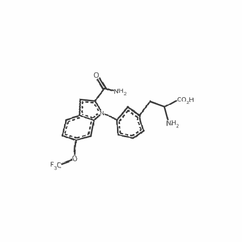 NC(=O)c1cc2ccc(OC(F)(F)F)cc2n1-c1cccc(CC(N)C(=O)O)c1